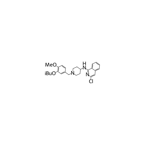 COc1ccc(CN2CCC(Nc3nc(Cl)cc4ccccc34)CC2)cc1OCC(C)C